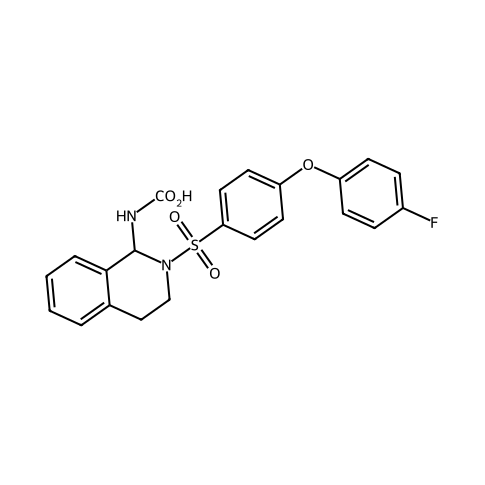 O=C(O)NC1c2ccccc2CCN1S(=O)(=O)c1ccc(Oc2ccc(F)cc2)cc1